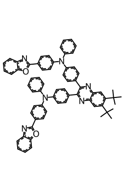 CC(C)(C)c1cc2nc(-c3ccc(N(c4ccccc4)c4ccc(-c5nc6ccccc6o5)cc4)cc3)c(-c3ccc(N(c4ccccc4)c4ccc(-c5nc6ccccc6o5)cc4)cc3)nc2cc1C(C)(C)C